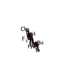 Cc1ncsc1-c1ccc([C@H](C)NC(=O)[C@@H]2C[C@@H](O)CN2C(=O)[C@@H](NCCCCCCN2CCN(CC[C@H](CSc3ccccc3)Nc3ccc(S(=O)(=O)NC(=O)c4ccc(N5CCN(CC6=C(c7ccc(Cl)cc7)CCC(C)(C)C6)CC5)cc4)cc3S(=O)(=O)C(F)(F)F)CC2)C(C)(C)C)cc1